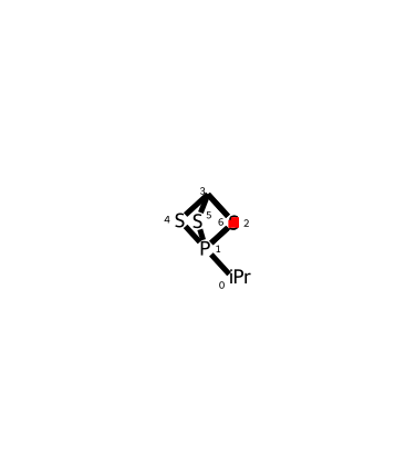 CC(C)P123SC(S1)(S2)S3